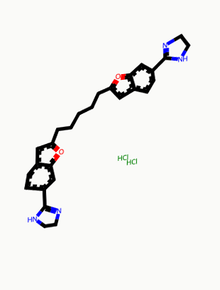 Cl.Cl.c1cc2cc(CCCCCc3cc4ccc(C5=NCCN5)cc4o3)oc2cc1C1=NCCN1